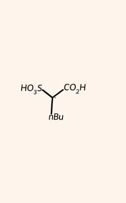 CCCC[C](C(=O)O)S(=O)(=O)O